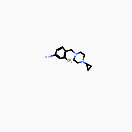 Nc1ccc(CN2CCN(C3CC3)CC2)c(C(F)(F)F)c1